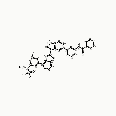 CS(=O)(=O)C(N)c1cc(F)cc(-c2cccc3[nH]c(-c4n[nH]c5cnc(-c6cncc(NC(=O)c7ccccc7)c6)cc45)cc23)c1